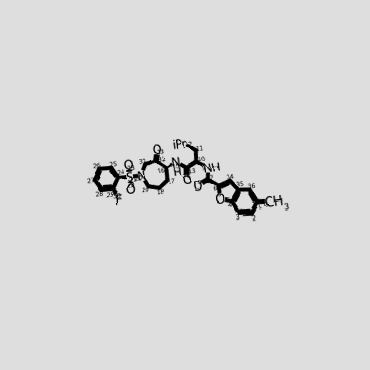 Cc1ccc2oc(C(=O)NC(CC(C)C)C(=O)N[C@H]3CCCN(S(=O)(=O)c4ccccc4F)CC3=O)cc2c1